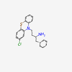 NC(CCN1c2ccccc2Sc2ccc(Cl)cc21)Cc1ccccc1